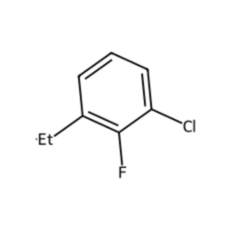 C[CH]c1cccc(Cl)c1F